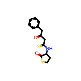 O=C(CC(=S)NC1CCSC1=O)Cc1ccccc1